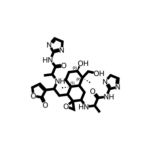 CC(NC(CC1C2(CO2)C(NC(C)C(=O)NC2=NCC=N2)CC2[C@]1(C)CC[C@@H](O)[C@@]2(C)CO)C1=CCOC1=O)C(=O)NC1=NCC=N1